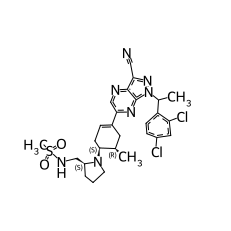 CC(c1ccc(Cl)cc1Cl)n1nc(C#N)c2ncc(C3=CC[C@H](N4CCC[C@H]4CNS(C)(=O)=O)[C@H](C)C3)nc21